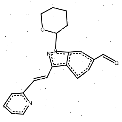 O=Cc1ccc2c(C=Cc3ccccn3)nn(C3CCCCO3)c2c1